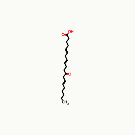 CCCCCC=CCC(=O)CCC=CCC=CCCCC(=O)O